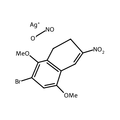 COc1cc(Br)c(OC)c2c1C=C([N+](=O)[O-])CC2.O=N[O-].[Ag+]